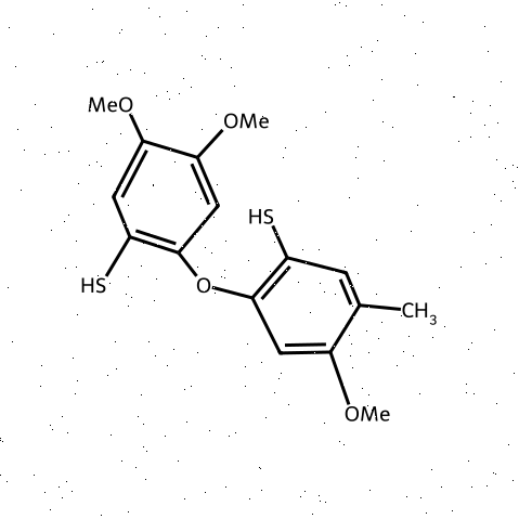 COc1cc(Oc2cc(OC)c(OC)cc2S)c(S)cc1C